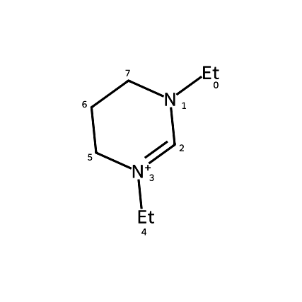 CCN1C=[N+](CC)CCC1